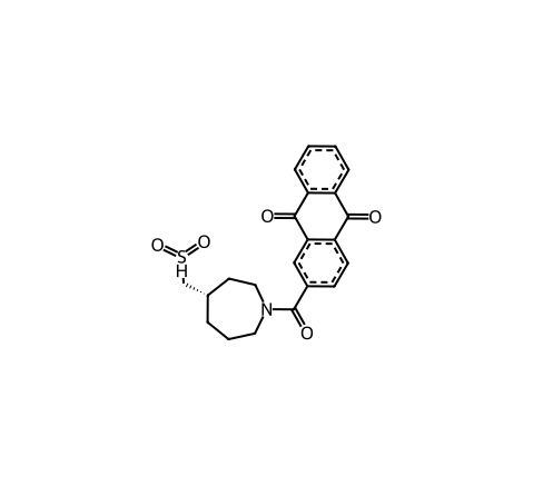 O=C1c2ccccc2C(=O)c2cc(C(=O)N3CCC[C@H](C[SH](=O)=O)CC3)ccc21